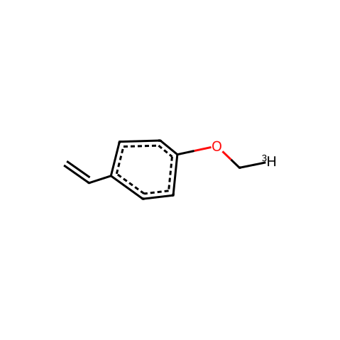 [3H]COc1ccc(C=C)cc1